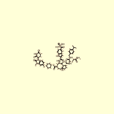 CC(C)c1ccc(CNC(=O)[C@H](CCC(N)=O)NC(=O)[C@@H]2CC[C@@H]3CCN(C(=O)C[C@H]4CC[C@@H](Cc5ccc6c(c5)n(C)c(=O)n6C5CCC(=O)NC5=O)CC4)C[C@H](NC(=O)c4cc5cc(C(=O)P(=O)(O)O)ccc5[nH]4)C(=O)N32)cc1